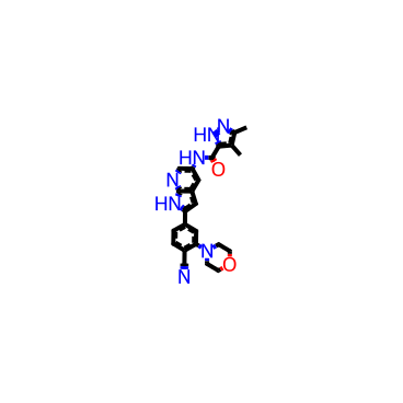 Cc1n[nH]c(C(=O)Nc2cnc3[nH]c(-c4ccc(C#N)c(N5CCOCC5)c4)cc3c2)c1C